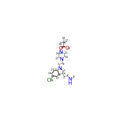 CNCCc1cn(CCN2CCN(OC(=O)C(C)(C)C)CC2)c2ccc(Cl)cc12